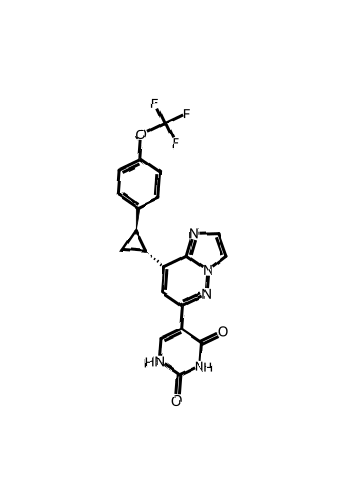 O=c1[nH]cc(-c2cc([C@@H]3C[C@H]3c3ccc(OC(F)(F)F)cc3)c3nccn3n2)c(=O)[nH]1